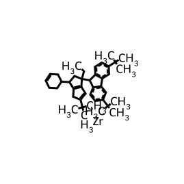 CCC1(C2c3ccc(C(C)(C)C)cc3-c3cc(C(C)(C)C)ccc32)CC(C2CC=CCC2)C2=C1C=C(C(C)(C)C)C2.[Zr]